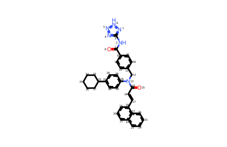 O=C(Nc1nn[nH]n1)c1ccc(CN(C(=O)C=Cc2cccc3ccccc23)c2ccc(C3CCCCC3)cc2)cc1